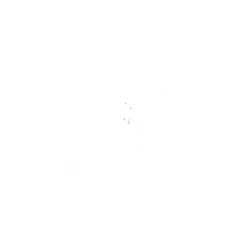 Cc1oc2ccccc2c2nn(-c3ccc([S+](C)[O-])cc3)c(=O)c1-2